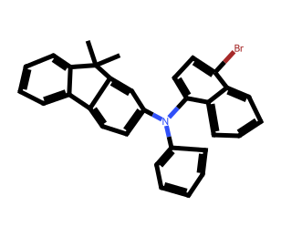 CC1(C)c2ccccc2-c2ccc(N(c3ccccc3)c3ccc(Br)c4ccccc34)cc21